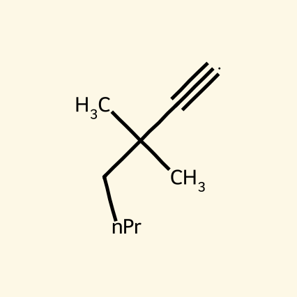 [C]#CC(C)(C)CCCC